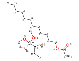 C=CC(=O)OCCCCCCCCCCCC.CCC(S)[Si](OC)(OC)OC